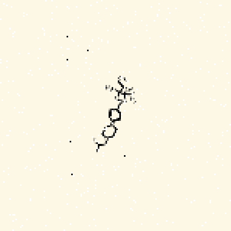 CCCC1(C)OB(c2ccc(N3CCN(CC(F)F)CC3)cc2)OC1(C)C